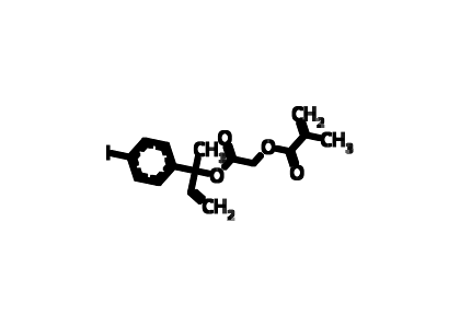 C=CC(C)(OC(=O)COC(=O)C(=C)C)c1ccc(I)cc1